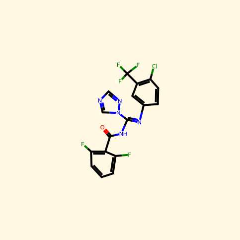 O=C(NC(=Nc1ccc(Cl)c(C(F)(F)F)c1)n1cncn1)c1c(F)cccc1F